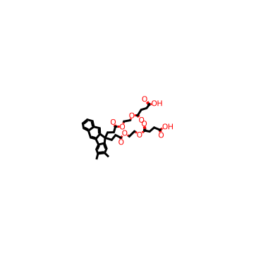 Cc1cc2c(cc1C)C(CCC(=O)OCCOC(=O)CCC(=O)O)(CCC(=O)OCCOC(=O)CCC(=O)O)c1cc3ccccc3cc1-2